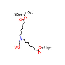 CCCCCCCCC(CCCCCCCC)OC(=O)CCCCCCN(CCO)CCCCCCC(=O)OCCCCCCC